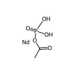 CC(=O)OP(=O)(O)O.[Nd]